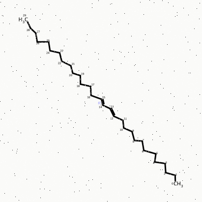 CCCCCCCCCCCCC=C/[C]=C/CCCCCCCCCCCCCC